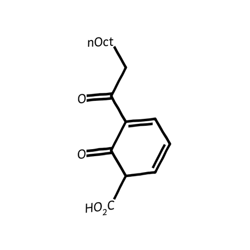 CCCCCCCCCC(=O)C1=CC=CC(C(=O)O)C1=O